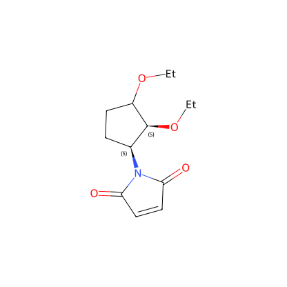 CCOC1CC[C@H](N2C(=O)C=CC2=O)[C@@H]1OCC